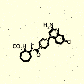 Nc1cc(N2CCN(C(=O)NC3CCCCCC3C(=O)O)CC2)c2ccc(Cl)cc2n1